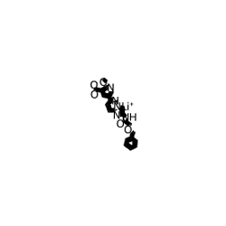 COc1ncc(-c2ccc3nc(NC(=O)COCc4ccccc4)cn3n2)cc1C(=O)[O-].[Li+]